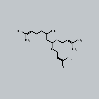 CC(C)=CCCC(C)CC(OCC=C(C)C)OCC=C(C)C